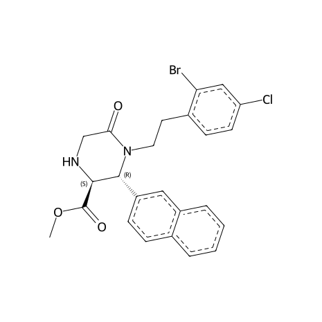 COC(=O)[C@H]1NCC(=O)N(CCc2ccc(Cl)cc2Br)[C@@H]1c1ccc2ccccc2c1